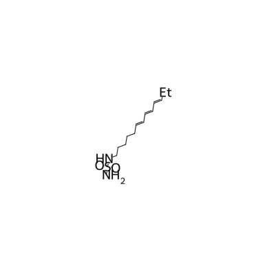 CCC=CC=CC=CCCCCCNS(N)(=O)=O